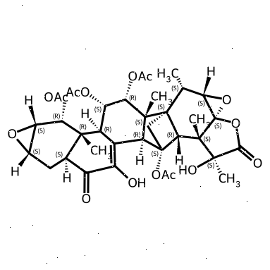 CC(=O)O[C@H]1[C@H]2C(=C(O)C(=O)[C@H]3C[C@@H]4O[C@@H]4[C@H](OC(C)=O)[C@@]32C)[C@@H]2[C@@]3(OC(C)=O)C[C@@]4([C@H](C)[C@@H]5O[C@@]56OC(=O)[C@@](C)(O)[C@]6(C)[C@H]34)[C@@]2(C)[C@H]1OC(C)=O